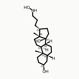 C[C@]12CC[C@H](O)C[C@H]1CC[C@@H]1[C@@H]2CC[C@]2(C)[C@@H](CCCNO)CC[C@]12O